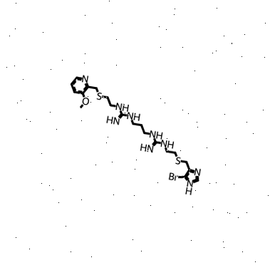 COc1cccnc1CSCCNC(=N)NCCCNC(=N)NCCSCc1nc[nH]c1Br